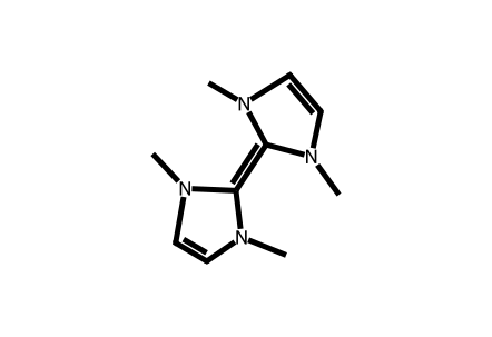 CN1C=CN(C)C1=C1N(C)C=CN1C